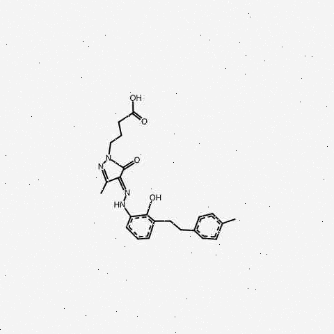 CC1=NN(CCCC(=O)O)C(=O)/C1=N/Nc1cccc(CCc2ccc(C)cc2)c1O